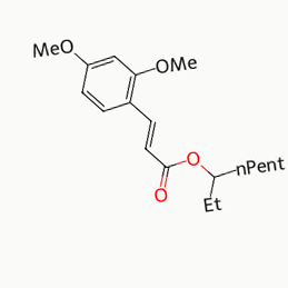 CCCCCC(CC)OC(=O)C=Cc1ccc(OC)cc1OC